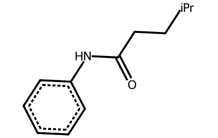 CC(C)CCC(=O)Nc1ccccc1